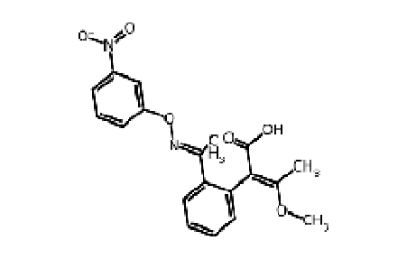 COC(C)=C(C(=O)O)c1ccccc1C(C)=NOc1cccc([N+](=O)[O-])c1